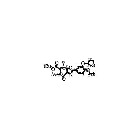 COC(=O)c1nc(-c2ccc(OC(F)F)c(OC3CCOC3)c2)oc1[C@H](C)NC(=O)OC(C)(C)C